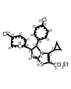 CCOC(=O)C1=C(C2CC2)N2C(=NC(c3ccc(Cl)cc3)C2c2ccc(Cl)cc2)S1